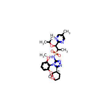 COc1cccc(OC)c1-n1c(NS(=O)(=O)C(C)C(OC(C)C)c2ncc(C)cn2)nnc1[C@H]1CCCOC1